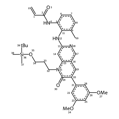 C=CC(=O)Nc1cccc(C)c1Nc1cc2c(cn1)cc(-c1cc(OC)cc(OC)c1)c(=O)n2CCCO[Si](C)(C)C(C)(C)C